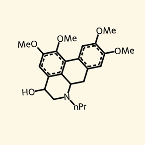 CCCN1CC(O)c2cc(OC)c(OC)c3c2C1Cc1cc(OC)c(OC)cc1-3